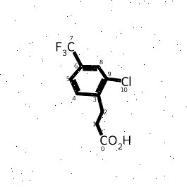 O=C(O)CCc1ccc(C(F)(F)F)cc1Cl